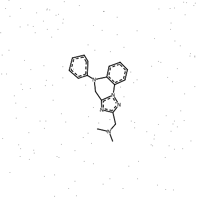 CN(C)Cc1nc2n(n1)-c1ccccc1N(c1ccccc1)C2